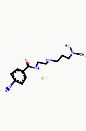 CN(C)CCCNCCNC(=O)c1ccc([N+]#N)cc1.[Cl-]